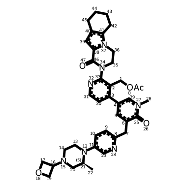 CC(=O)OCc1c(-c2cc(Cc3ccc(N4CCN(C5COC5)C[C@@H]4C)cn3)c(=O)n(C)c2)ccnc1N1CCn2c(cc3c2CCCC3)C1=O